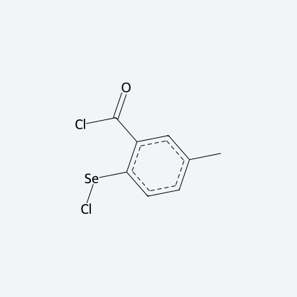 Cc1ccc([Se]Cl)c(C(=O)Cl)c1